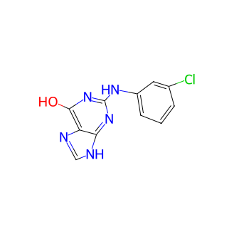 Oc1nc(Nc2cccc(Cl)c2)nc2[nH]cnc12